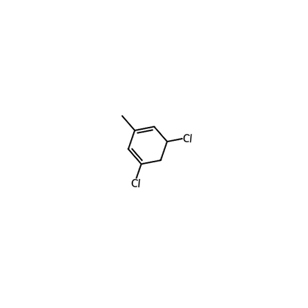 CC1=CC(Cl)CC(Cl)=C1